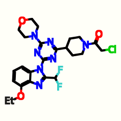 CCOc1cccc2c1nc(C(F)F)n2-c1nc(C2CCN(C(=O)CCl)CC2)nc(N2CCOCC2)n1